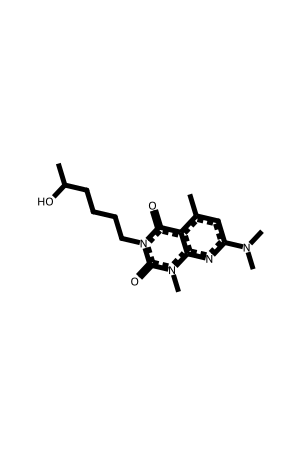 Cc1cc(N(C)C)nc2c1c(=O)n(CCCCC(C)O)c(=O)n2C